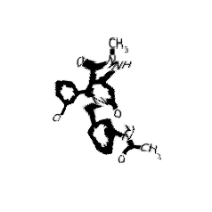 CC(=O)Nc1cccc(Cn2c(-c3cccc(Cl)c3)c3c(=O)n(C)[nH]c3cc2=O)c1